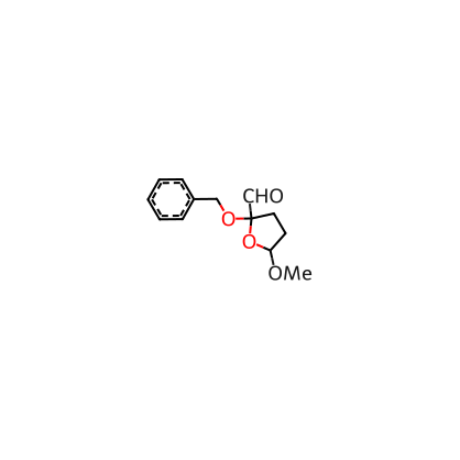 COC1CCC(C=O)(OCc2ccccc2)O1